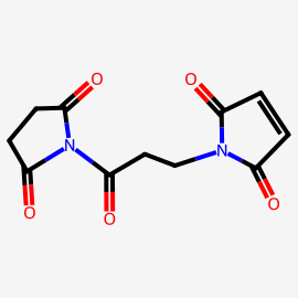 O=C1C=CC(=O)N1CCC(=O)N1C(=O)CCC1=O